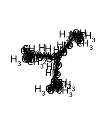 CC(=O)OCC1OC(OCCCCC(=O)NCCCNC(=O)CCOCC(N)(COCCC(=O)NCCCNC(=O)CCCCOC2OC(COC(C)=O)C(OC(C)=O)C(OC(C)=O)C2N)COCCC(=O)NCCCNC(=O)CCCCOC2OC(COC(C)=O)C(OC(C)=O)C(OC(C)=O)C2N)C(N)C(O)C1OC(C)=O